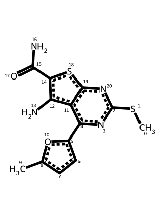 CSc1nc(-c2ccc(C)o2)c2c(N)c(C(N)=O)sc2n1